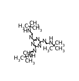 CC(C)(C)NC=Nc1nc(N=CNC(C)(C)C)nc(N=CNC(C)(C)C)n1